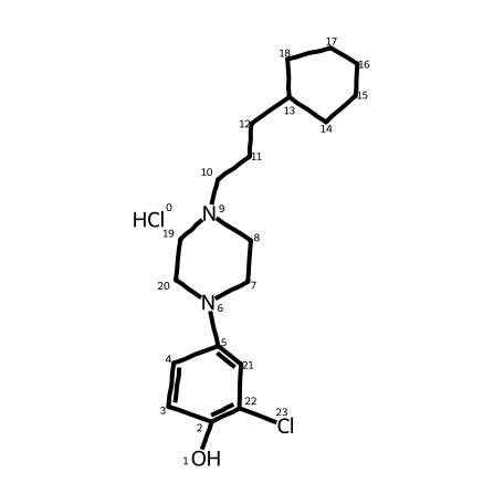 Cl.Oc1ccc(N2CCN(CCCC3CCCCC3)CC2)cc1Cl